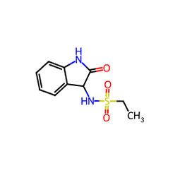 CCS(=O)(=O)NC1C(=O)Nc2ccccc21